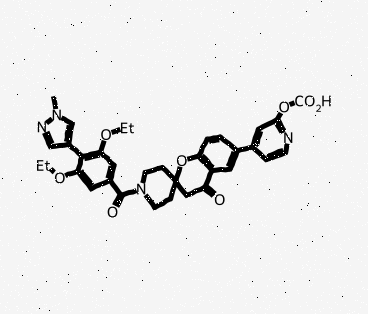 CCOc1cc(C(=O)N2CCC3(CC2)CC(=O)c2cc(-c4ccnc(OC(=O)O)c4)ccc2O3)cc(OCC)c1-c1cnn(C)c1